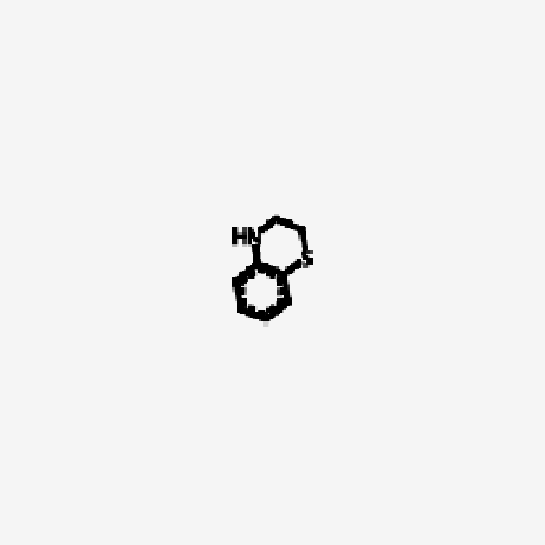 [c]1ccc2c(c1)SCCN2